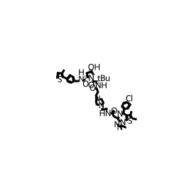 Cc1ccsc1-c1ccc(CNC(=O)[C@@H]2C[C@@H](O)CN2C(=O)[C@@H](NC(=O)CCN2CCN(CCNC(=O)CC3N=C(c4ccc(Cl)cc4)c4c(sc(C)c4C)-n4c(C)nnc43)CC2)C(C)(C)C)cc1